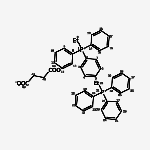 CC[P+](c1ccccc1)(c1ccccc1)c1ccccc1.CC[P+](c1ccccc1)(c1ccccc1)c1ccccc1.O=C([O-])CCC(=O)[O-]